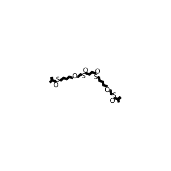 C=C(C)C(=O)SCCCCCOCCSC(=O)CCC(=O)SCCCCCOCCSC(=O)C(=C)C